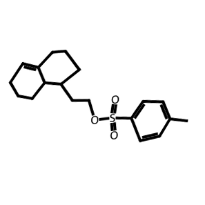 Cc1ccc(S(=O)(=O)OCCC2CCCC3=CCCCC32)cc1